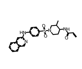 C=CC(=O)NC1CCN(S(=O)(=O)c2ccc(Nc3cc4ccccc4cn3)cc2)CC1C